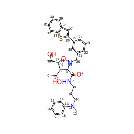 CC(O)C1C(C(=O)NCCCN(C)c2ccccc2)N(Cc2cccc(-c3cc4ccccc4s3)c2)O[C@@H]1CO